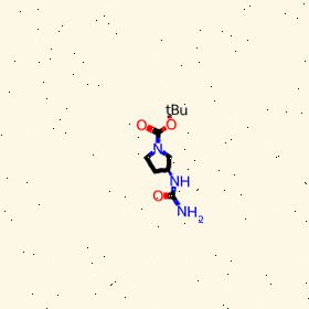 CC(C)(C)OC(=O)N1CC[C@H](NC(N)=O)C1